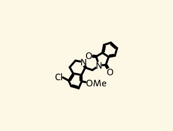 COc1ccc(Cl)c2c1C(CN1C(=O)c3ccccc3C1=O)=NCC2